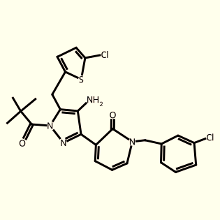 CC(C)(C)C(=O)n1nc(-c2cccn(Cc3cccc(Cl)c3)c2=O)c(N)c1Cc1ccc(Cl)s1